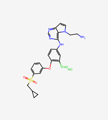 Cl.Cl.NCCn1ccc2ncnc(Nc3ccc(Oc4cccc(S(=O)(=O)CC5CC5)c4)c(Cl)c3)c21